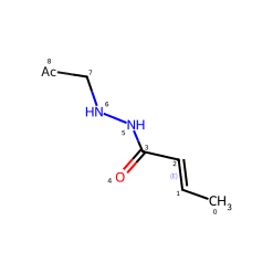 C/C=C/C(=O)NNCC(C)=O